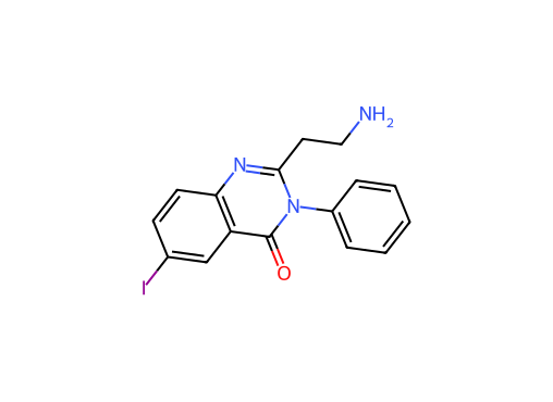 NCCc1nc2ccc(I)cc2c(=O)n1-c1ccccc1